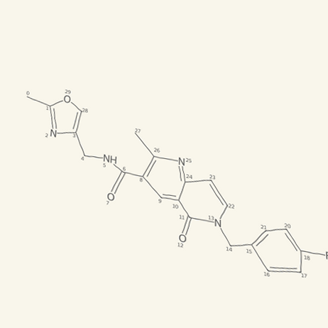 Cc1nc(CNC(=O)c2cc3c(=O)n(Cc4ccc(F)cc4)ccc3nc2C)co1